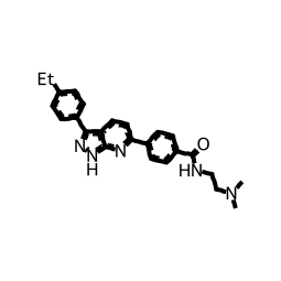 CCc1ccc(-c2n[nH]c3nc(-c4ccc(C(=O)NCCN(C)C)cc4)ccc23)cc1